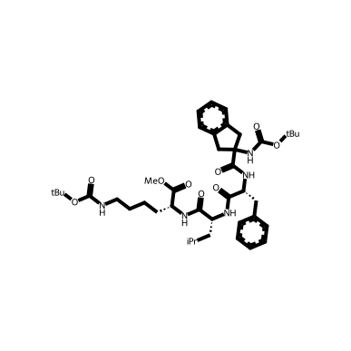 COC(=O)[C@@H](CCCCNC(=O)OC(C)(C)C)NC(=O)[C@@H](CC(C)C)NC(=O)[C@@H](Cc1ccccc1)NC(=O)C1(NC(=O)OC(C)(C)C)Cc2ccccc2C1